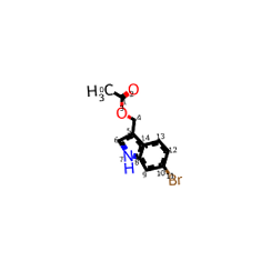 CC(=O)OCc1c[nH]c2cc(Br)ccc12